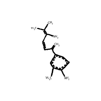 C=C(/C=C\C(N)=C(C)C)c1ccc(N)c(C)c1